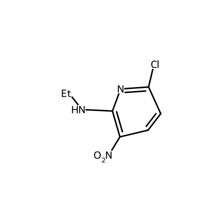 CCNc1nc(Cl)ccc1[N+](=O)[O-]